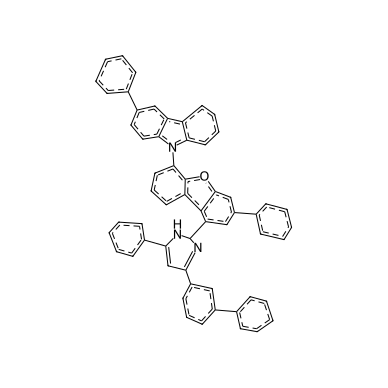 C1=C(c2ccccc2)NC(c2cc(-c3ccccc3)cc3oc4c(-n5c6ccccc6c6cc(-c7ccccc7)ccc65)cccc4c23)N=C1c1cccc(-c2ccccc2)c1